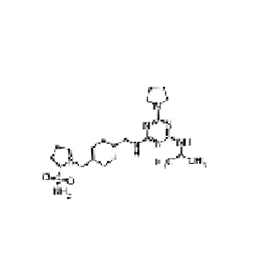 CC(C)Nc1nc(NCC2CCC(CN3CCCC3S(N)(=O)=O)CC2)nc(N2CCCC2)n1